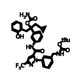 CC(C)(C)OC(=O)NCc1cccc(-n2nc(C(F)(F)F)cc2C(=O)Nc2cccc(C(Cc3ccccc3O)(CC3CC3)OC(N)=O)c2)c1